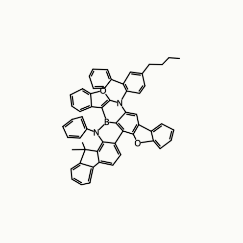 CCCCc1ccc(N2c3cc4c(oc5ccccc54)c4c3B(c3c2oc2ccccc32)N(c2ccccc2)c2c-4ccc3c2C(C)(C)c2ccccc2-3)c(-c2ccccc2)c1